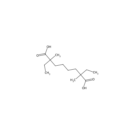 CCC(C)(CCCCC(C)(CC)C(=O)O)C(=O)O